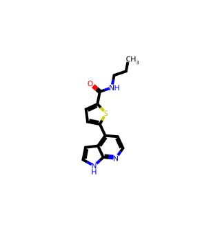 CCCNC(=O)c1ccc(-c2ccnc3[nH]ccc23)s1